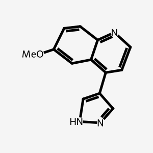 COc1ccc2nccc(-c3cn[nH]c3)c2c1